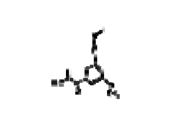 CNC(=O)c1cc(C#CSI)cc(OC)c1